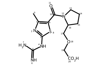 Cc1nc(NC(=N)N)sc1C(=O)N1CCCC1COCC(=O)O